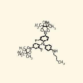 CCCCNc1ccc(N(c2ccc(B3OC(C)(C)C(C)(C)O3)cc2F)c2ccc(B3OC(C)(C)C(C)(C)O3)cc2F)cc1